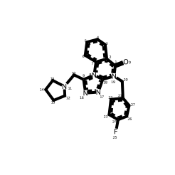 O=c1c2ccccc2n2c(CN3CCCC3)nnc2n1Cc1ccc(F)cc1